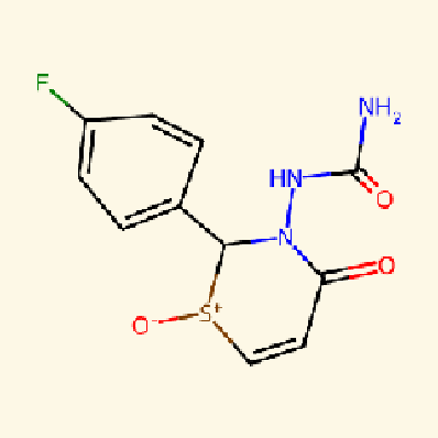 NC(=O)NN1C(=O)C=C[S+]([O-])C1c1ccc(F)cc1